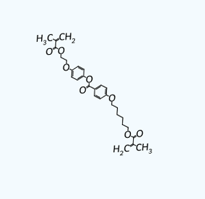 C=C(C)C(=O)OCCCCCCOc1ccc(C(=O)Oc2ccc(OCCOC(=O)C(=C)C)cc2)cc1